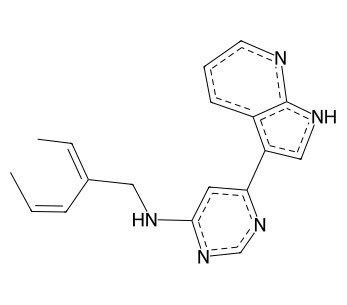 C/C=C\C(=C/C)CNc1cc(-c2c[nH]c3ncccc23)ncn1